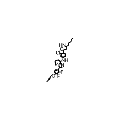 CC#CCOc1ccc(-c2cnc3n2C=CCC=C3Nc2ccc(C(=O)CC(=N)CCCCC)c(Cl)c2)c(F)c1F